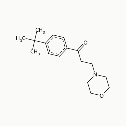 CC(C)(C)c1ccc(C(=O)CCN2CCOCC2)cc1